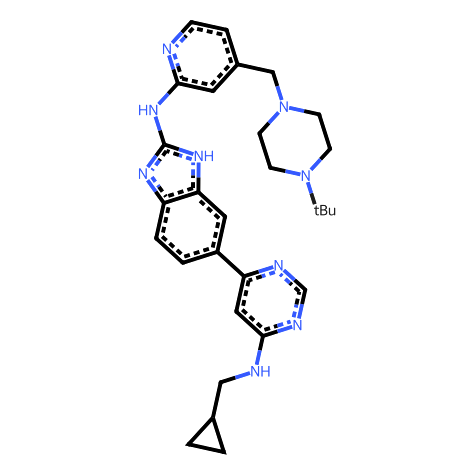 CC(C)(C)N1CCN(Cc2ccnc(Nc3nc4ccc(-c5cc(NCC6CC6)ncn5)cc4[nH]3)c2)CC1